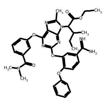 CCOC(=O)C(C(C)CC)n1c(C)nc2c(Oc3cccc(C(=O)N(C)C)c3)nc(Oc3cc(C(=N)N)ccc3Oc3ccccc3)nc21